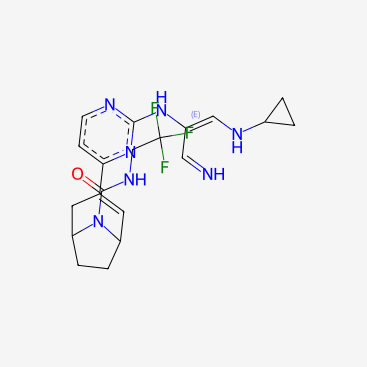 N=C/C(=C\NC1CC1)Nc1nccc(C2=CC3CCC(C2)N3C(=O)NCC(F)(F)F)n1